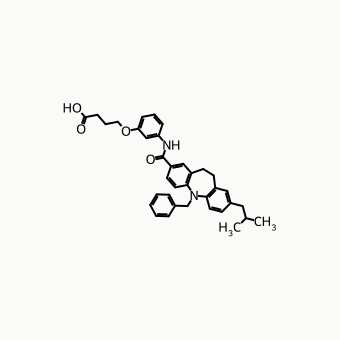 CC(C)Cc1ccc2c(c1)CCc1cc(C(=O)Nc3cccc(OCCCC(=O)O)c3)ccc1N2Cc1ccccc1